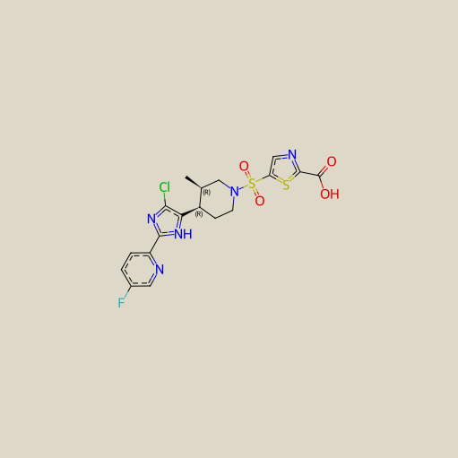 C[C@H]1CN(S(=O)(=O)c2cnc(C(=O)O)s2)CC[C@H]1c1[nH]c(-c2ccc(F)cn2)nc1Cl